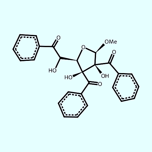 CO[C@@H]1O[C@H](C(O)C(=O)c2ccccc2)[C@@](O)(C(=O)c2ccccc2)[C@@]1(O)C(=O)c1ccccc1